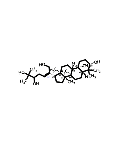 CC(C)(O)C(O)C/C=C(\CO)[C@H]1CC[C@]2(C)[C@]1(C)CC[C@@H]1[C@@]3(C)CC[C@H](O)C(C)(C)[C@@H]3CC[C@]12C